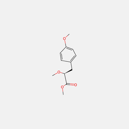 COC(=O)[C@H](Cc1ccc(OC)cc1)OC